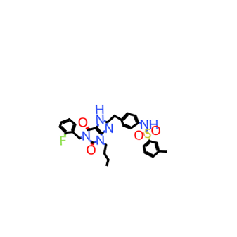 CCCCn1c(=O)n(Cc2ccccc2F)c(=O)c2[nH]c(Cc3ccc(NS(=O)(=O)c4cccc(C)c4)cc3)nc21